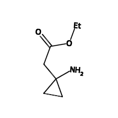 CCOC(=O)CC1(N)CC1